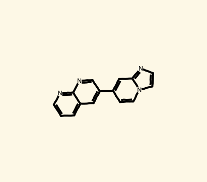 c1cnc2ncc(-c3ccn4ccnc4c3)cc2c1